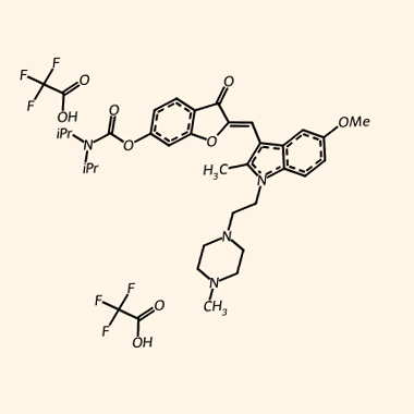 COc1ccc2c(c1)c(/C=C1\Oc3cc(OC(=O)N(C(C)C)C(C)C)ccc3C1=O)c(C)n2CCN1CCN(C)CC1.O=C(O)C(F)(F)F.O=C(O)C(F)(F)F